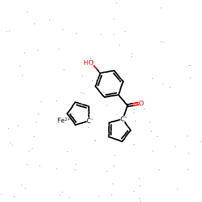 O=C(c1ccc(O)cc1)[c-]1cccc1.[Fe+2].c1cc[cH-]c1